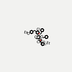 CCOC(=O)OC(C)[C@@]12CO[C@@](c3ccc(Cl)c(Cc4ccc(OCC)cc4)c3)(O1)[C@H](OCc1ccccc1)[C@@H](OCc1ccccc1)[C@@H]2OCc1ccccc1